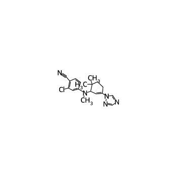 CN(c1ccc(C#N)c(Cl)c1)C1C=C(n2cncn2)CCC1(C)C